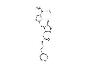 CN(C)c1ccc(/C=C2\C(=O)ON=C2CC(=O)OCCc2ccccc2)s1